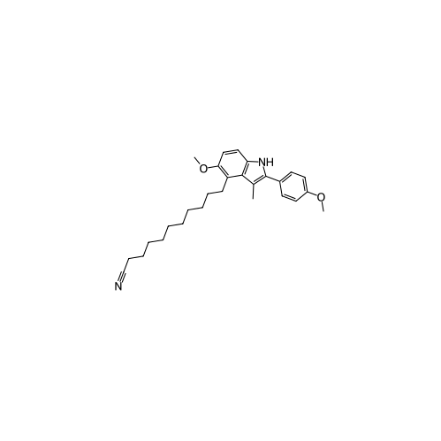 COc1ccc(-c2[nH]c3ccc(OC)c(CCCCCCCCCCC#N)c3c2C)cc1